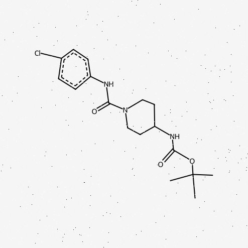 CC(C)(C)OC(=O)NC1CCN(C(=O)Nc2ccc(Cl)cc2)CC1